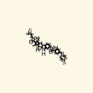 Cc1[nH]c(/C=C2\C(=O)Nc3cc(NC(=O)c4ccc(CN5CCN(C)CC5)cc4)ccc32)c(C)c1C(=O)NCCN(C)C